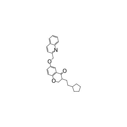 O=C1c2cc(OCc3ccc4ccccc4n3)ccc2OCC1CCC1CCCC1